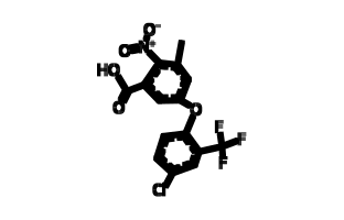 Cc1cc(Oc2ccc(Cl)cc2C(F)(F)F)cc(C(=O)O)c1[N+](=O)[O-]